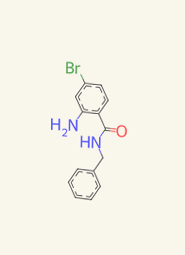 Nc1cc(Br)ccc1C(=O)NCc1ccccc1